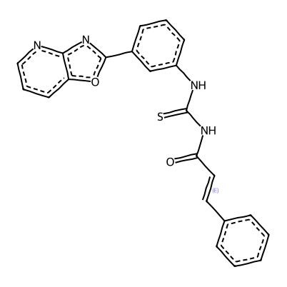 O=C(/C=C/c1ccccc1)NC(=S)Nc1cccc(-c2nc3ncccc3o2)c1